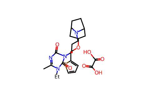 CCn1c(C)nc(=O)n(CCCN2C3CCC2CC(OCc2cccs2)C3)c1=O.O=C(O)C(=O)O